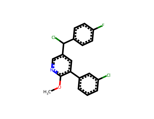 COc1ncc(C(Cl)c2ccc(F)cc2)cc1-c1cccc(Cl)c1